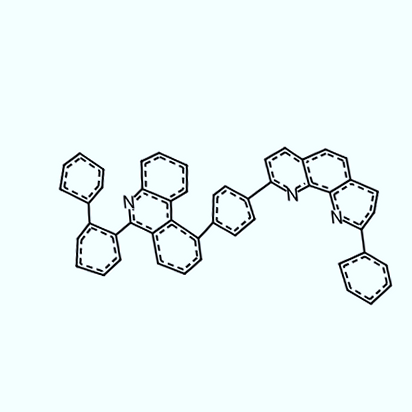 c1ccc(-c2ccc3ccc4ccc(-c5ccc(-c6cccc7c(-c8ccccc8-c8ccccc8)nc8ccccc8c67)cc5)nc4c3n2)cc1